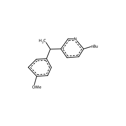 CCCCc1ccc(C(C)c2ccc(OC)cc2)cn1